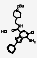 CCCCN1CCC(CNC(=O)c2cc(Cl)c(N)n3cc(-c4ccccc4)nc23)CC1.Cl